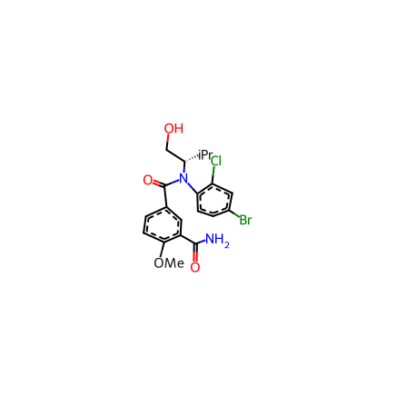 COc1ccc(C(=O)N(c2ccc(Br)cc2Cl)[C@H](CO)C(C)C)cc1C(N)=O